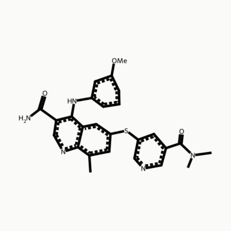 COc1cccc(Nc2c(C(N)=O)cnc3c(C)cc(Sc4cncc(C(=O)N(C)C)c4)cc23)c1